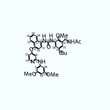 COc1cc(Nc2cc(Oc3ccc(NC(=O)Nc4cc(C(C)(C)C)cc(CNC(C)=O)c4OC)c4ccccc34)ccn2)cc(OC)c1